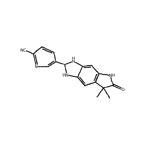 CC1(C)C(=O)Nc2cc3c(cc21)NC(c1ccc(C#N)nc1)N3